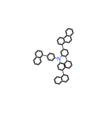 c1ccc(-c2ccc(-c3cccc4c3ccc3ccccc34)cc2N(c2ccc(-c3cccc4ccccc34)cc2)c2ccc(-c3cccc4ccccc34)cc2)cc1